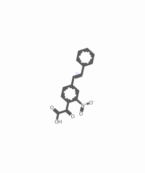 O=C(O)C(=O)c1ccc(/C=C/c2ccccc2)cc1[N+](=O)[O-]